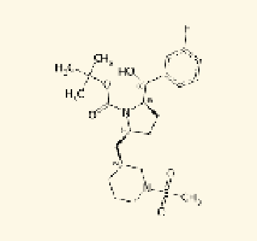 CC(C)(C)OC(=O)N1[C@H](C[C@@H]2CCCN(S(C)(=O)=O)C2)CC[C@@H]1[C@H](O)c1cccc(F)c1